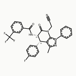 Cc1nn(-c2ccccc2)c2c1[C@H](c1ccc(F)cc1)[C@H](NC(=O)c1cccc(C(F)(F)F)c1)C(=O)N2CC#N